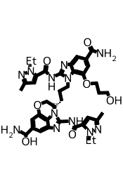 CCn1nc(C)cc1C(=O)Nc1nc2cc(C(N)=O)cc(OCCCO)c2n1CCC[C@H]1COc2cc(C(N)O)cc3nc(NC(=O)c4cc(C)nn4CC)n1c23